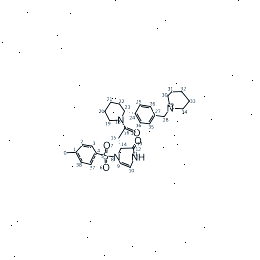 Cc1ccc(S(=O)(=O)N2C=CNC(=O)[C@H]2CC(=O)N2CCCC[C@@H]2c2ccc(CN3CCCCC3)cc2)cc1